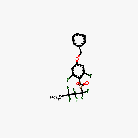 O=S(=O)(O)C(F)(F)C(F)(F)C(F)(F)S(=O)(=O)c1c(F)cc(OCc2ccccc2)cc1F